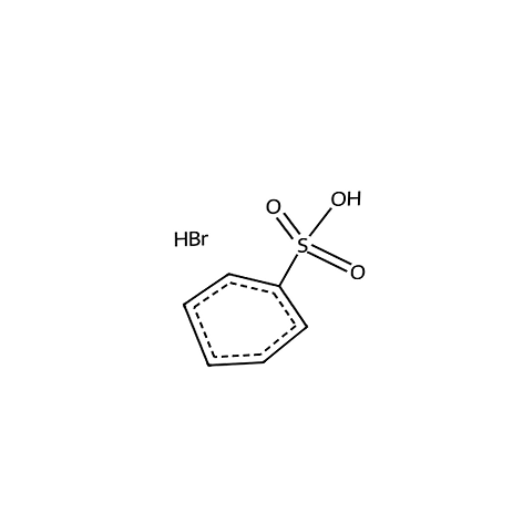 Br.O=S(=O)(O)c1ccccc1